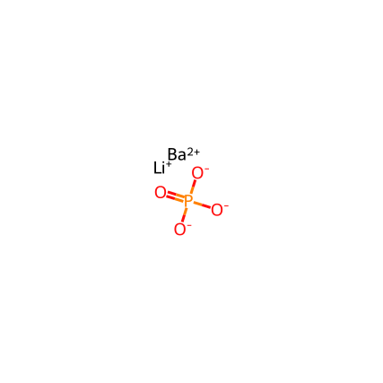 O=P([O-])([O-])[O-].[Ba+2].[Li+]